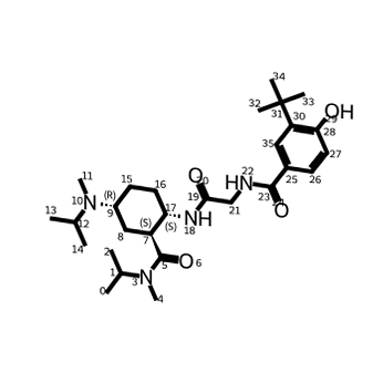 CC(C)N(C)C(=O)[C@H]1C[C@H](N(C)C(C)C)CC[C@@H]1NC(=O)CNC(=O)c1ccc(O)c(C(C)(C)C)c1